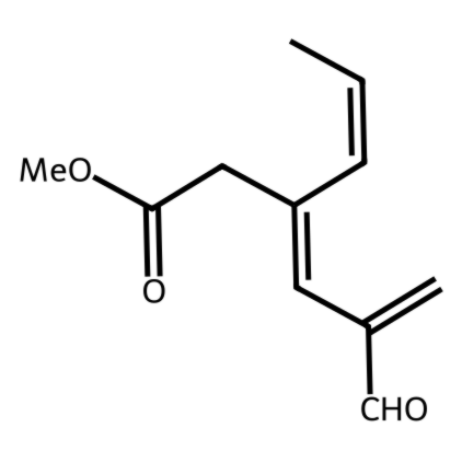 C=C(C=O)/C=C(\C=C/C)CC(=O)OC